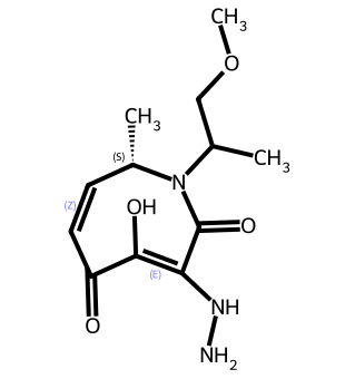 COCC(C)N1C(=O)/C(NN)=C(\O)C(=O)/C=C\[C@@H]1C